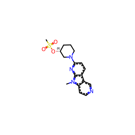 Cn1c2ccncc2c2ccc(N3CCC[C@@H](OS(C)(=O)=O)C3)nc21